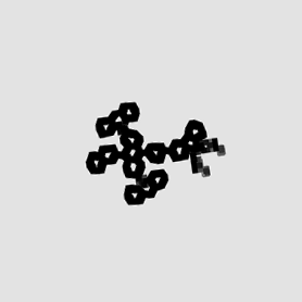 CC1(C)c2ccccc2-c2cc(-c3ccc(-c4c5ccc(N6c7ccccc7Cc7ccccc76)cc5c(-c5ccc6ccccc6c5)c5ccc(N6C7=C(CCC=C7)Cc7ccccc76)cc45)cc3)ccc21